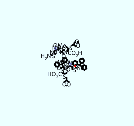 CO/N=C(\C(=O)NC1(C(c2ccccc2)c2ccccc2)C(=O)N2C(C(=O)O)=C(SCC3COCOC3)CS[C@H]21)c1csc(NC(c2ccccc2)(c2ccccc2)c2ccccc2)n1.CO/N=C(\C(=O)NC1C(=O)N2C(C(=O)O)=C(SCC3COCOC3)CS[C@@H]12)c1csc(N)n1